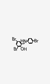 Oc1c(Br)cc(Br)cc1CNc1ccc(Br)cc1